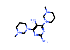 CN1CCCN(c2nc(N)nc(N3CCCN(C)C3)c2N)C1